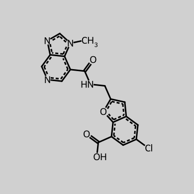 Cn1cnc2cncc(C(=O)NCc3cc4cc(Cl)cc(C(=O)O)c4o3)c21